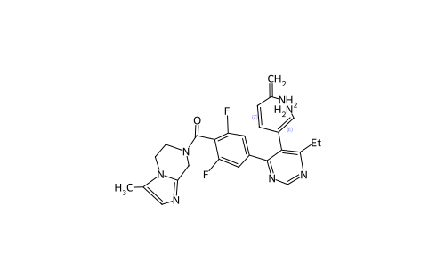 C=C(N)/C=C\C(=C/N)c1c(CC)ncnc1-c1cc(F)c(C(=O)N2CCn3c(C)cnc3C2)c(F)c1